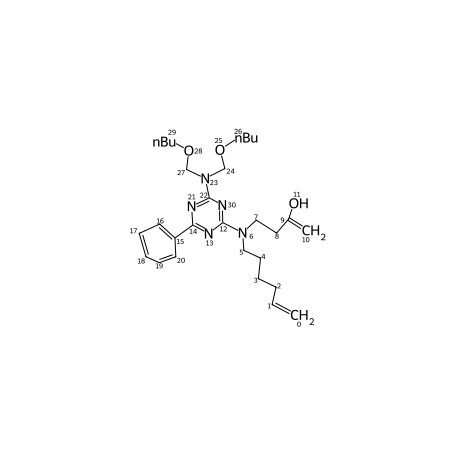 C=CCCCCN(CCC(=C)O)c1nc(-c2ccccc2)nc(N(COCCCC)COCCCC)n1